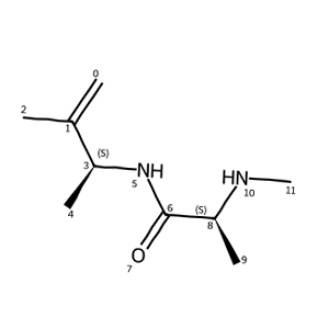 C=C(C)[C@H](C)NC(=O)[C@H](C)NC